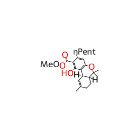 CCCCCc1cc2c(c(O)c1C(=O)OOC)[C@@H]1C=C(C)CC[C@H]1C(C)(C)O2